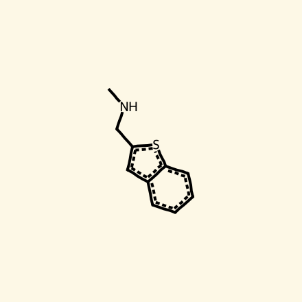 CNCc1cc2ccccc2s1